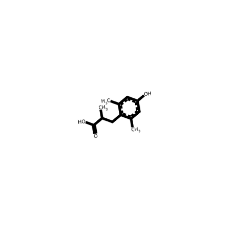 Cc1cc(O)cc(C)c1CC(C)C(=O)O